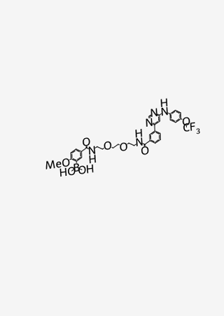 COc1ccc(C(=O)NCCOCCOCCNC(=O)c2cccc(-c3cc(Nc4ccc(OC(F)(F)F)cc4)ncn3)c2)cc1B(O)O